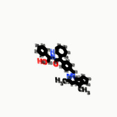 Cc1cc2c(C)c3c(c-2n(Cc2ccc(C(C(=O)NC(CO)c4ccccc4)C4CCCCCC4)cc2)n1)CCC3